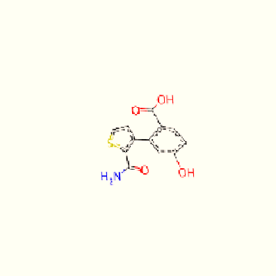 NC(=O)c1sccc1-c1cc(O)ccc1C(=O)O